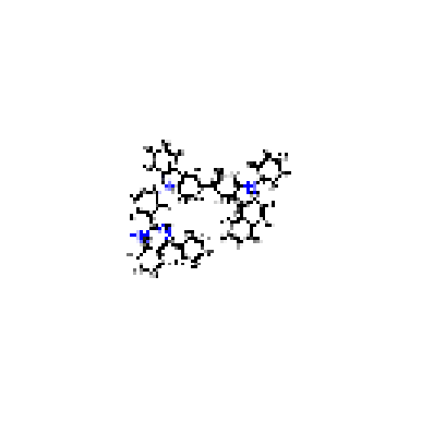 C1=CC(n2c3c(c4cc(-c5ccc6c(c5)c5c7ccccc7ccc5n6-c5ccccc5)ccc42)C=CCC3)CC(C2=NC(c3ccccc3)=C3C=CCCC3N2)=C1